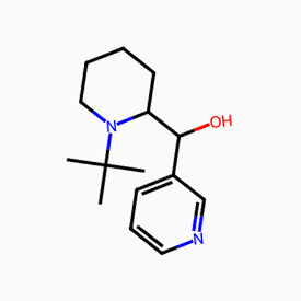 CC(C)(C)N1CCCCC1C(O)c1cccnc1